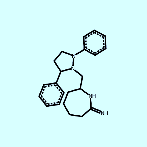 N=C1CCCCC(CN2C(c3ccccc3)CCN2c2ccccc2)N1